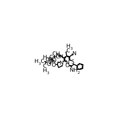 CCc1c(C#N)c(SC(C(N)=O)c2ccccc2)nc(N2CCC(OP(=O)(OC(C)(C)C)OC(C)(C)C)C2)c1C#N